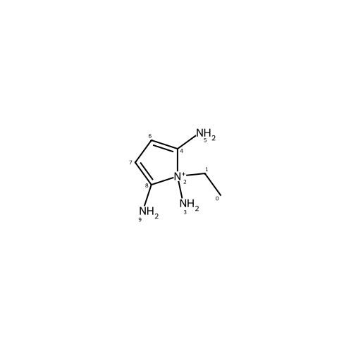 CC[N+]1(N)C(N)=CC=C1N